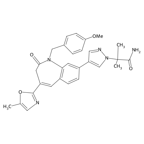 COc1ccc(CN2C(=O)CC(c3ncc(C)o3)=Cc3ccc(-c4cnn(C(C)(C)C(N)=O)c4)cc32)cc1